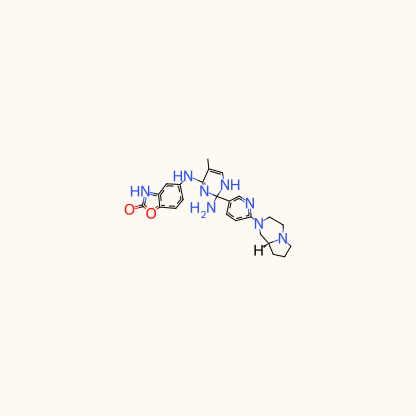 CC1=CNC(N)(c2ccc(N3CCN4CCC[C@@H]4C3)nc2)N=C1Nc1ccc2oc(=O)[nH]c2c1